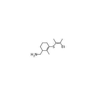 CC/C(C)=C(/C)SC1=C(C)C(CN)CCC1